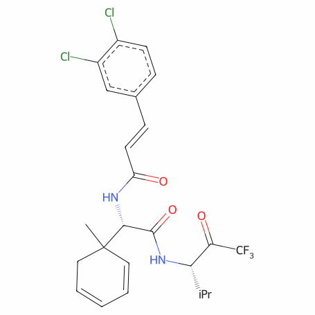 CC(C)[C@H](NC(=O)[C@@H](NC(=O)/C=C/c1ccc(Cl)c(Cl)c1)C1(C)C=CC=CC1)C(=O)C(F)(F)F